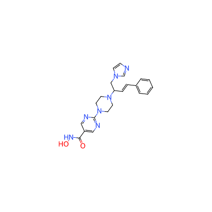 O=C(NO)c1cnc(N2CCN(C(/C=C/c3ccccc3)Cn3ccnc3)CC2)nc1